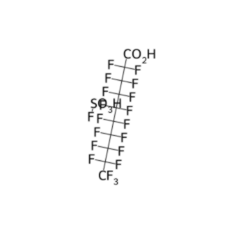 O=C(O)C(F)(F)C(F)(F)C(F)(F)C(F)(F)C(F)(F)C(F)(F)C(F)(F)C(F)(F)C(F)(F)F.O=S(=O)(O)F